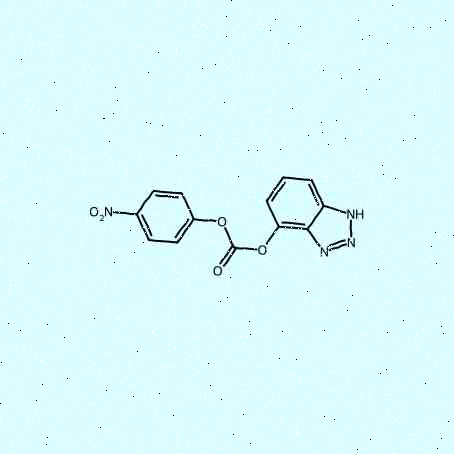 O=C(Oc1ccc([N+](=O)[O-])cc1)Oc1cccc2[nH]nnc12